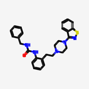 O=C(NCc1ccccc1)Nc1ccccc1CCN1CCN(c2nsc3ccccc23)CC1